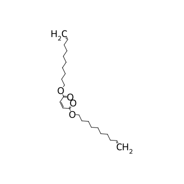 C=CCCCCCCCCOC(=O)/C=C\C(=O)OCCCCCCCCC=C